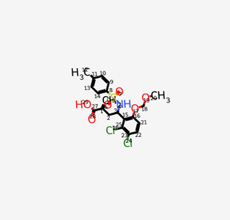 C=C(CC(NS(=O)(=O)c1ccc(C)cc1)c1c(OCOC)ccc(Cl)c1Cl)C(=O)O